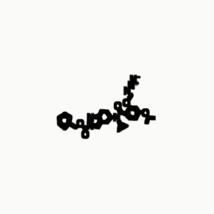 CC(C)Oc1ccc(C(=O)N(C2CC2)C2CCc3nn(C(=O)OCc4ccccc4)cc3C2)c(OCN=[N+]=[N-])c1